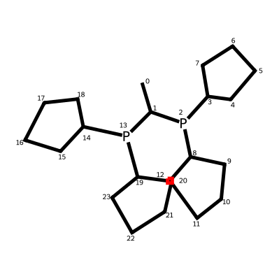 CC(P(C1CCCC1)C1CCCC1)P(C1CCCC1)C1CCCC1